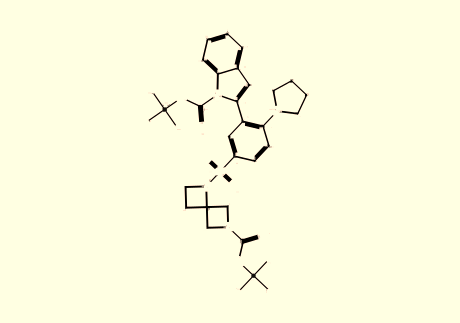 CC(C)(C)OC(=O)N1CC2(CCN2S(=O)(=O)c2ccc(N3CCCC3)c(-c3cc4ccccc4n3C(=O)OC(C)(C)C)c2)C1